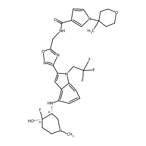 CN1CC[C@@](O)(F)[C@H](Nc2cccc3c2cc(-c2noc(CNC(=O)c4ccn(C5(C)CCOCC5)c4)n2)n3CC(F)(F)F)C1